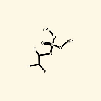 CCCOP(=O)(OCCC)OC(F)C(F)F